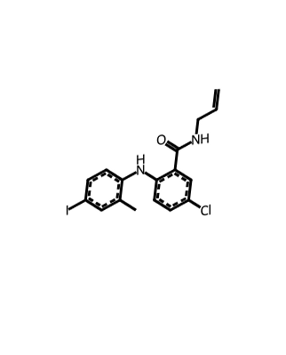 C=CCNC(=O)c1cc(Cl)ccc1Nc1ccc(I)cc1C